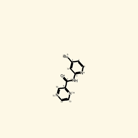 CCC(C)c1ccnc(NC(=O)c2cnccn2)c1